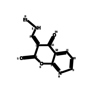 CCNC=C1C(=O)Oc2ncccc2C1=O